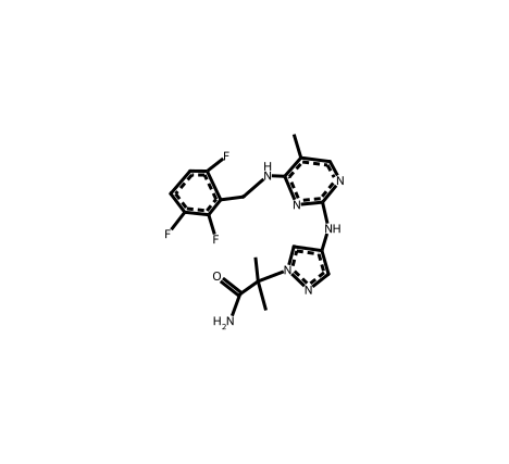 Cc1cnc(Nc2cnn(C(C)(C)C(N)=O)c2)nc1NCc1c(F)ccc(F)c1F